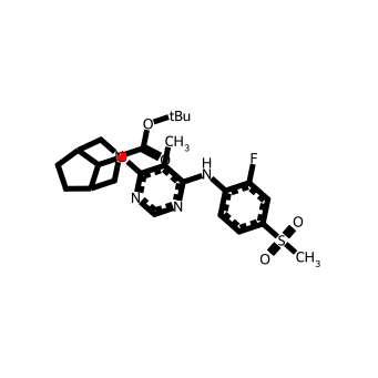 Cc1c(Nc2ccc(S(C)(=O)=O)cc2F)ncnc1OC1C2CCC1CN(C(=O)OC(C)(C)C)C2